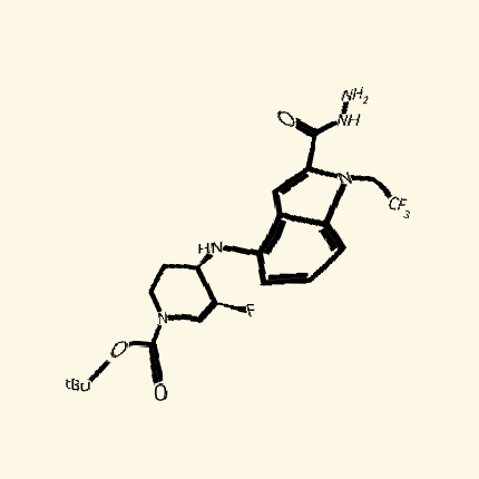 CC(C)(C)OC(=O)N1CC[C@@H](Nc2cccc3c2cc(C(=O)NN)n3CC(F)(F)F)[C@@H](F)C1